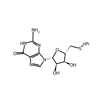 CCCSC[C@H]1O[C@@H](n2cnc3c(=O)[nH]c(N)nc32)[C@H](O)[C@@H]1O